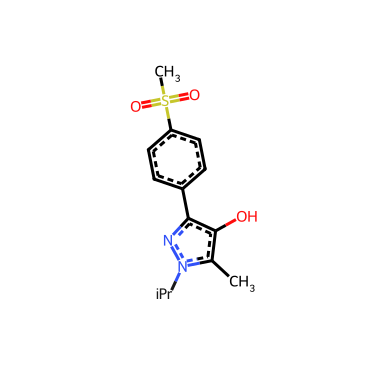 Cc1c(O)c(-c2ccc(S(C)(=O)=O)cc2)nn1C(C)C